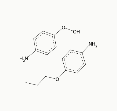 CCCOc1ccc(N)cc1.Nc1ccc(OO)cc1